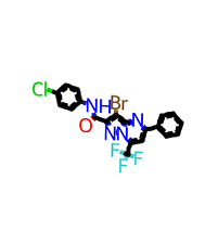 O=C(Nc1ccc(Cl)cc1)c1nn2c(C(F)(F)F)cc(-c3ccccc3)nc2c1Br